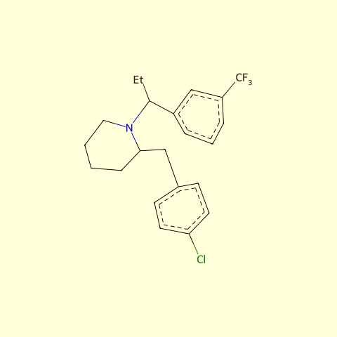 CCC(c1cccc(C(F)(F)F)c1)N1CCCCC1Cc1ccc(Cl)cc1